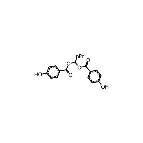 CCCC(OC(=O)c1ccc(O)cc1)OC(=O)c1ccc(O)cc1